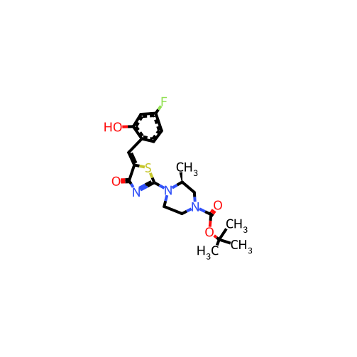 C[C@H]1CN(C(=O)OC(C)(C)C)CCN1C1=NC(=O)/C(=C/c2ccc(F)cc2O)S1